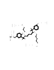 CC1(C)C(/C=C/C=C2/N(CCCCCC(=O)O)c3ccc(S(=O)(=O)O)cc3C2(C)C)=[N+](CCCS(=O)(=O)O)c2ccc(CNC(=O)I)cc21